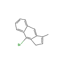 CC1=CCc2c1cc1ccccc1c2Br